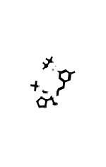 Cc1cc(C=CC[C@@](NC(=O)OC(C)(C)C)(C(=O)O)C2CCCC2)cc(B2OC(C)(C)C(C)(C)O2)c1